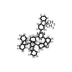 CC1(C)c2ccccc2-c2ccc(-c3nc(-c4ccccc4)nc(-c4cccc5oc6ccc(-c7ccc(-n8c9ccccc9c9ccccc98)c8sc9ccccc9c78)cc6c45)n3)cc21